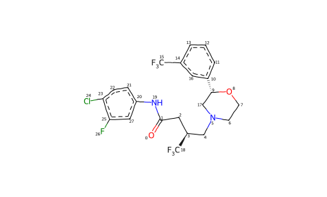 O=C(C[C@@H](CN1CCO[C@@H](c2cccc(C(F)(F)F)c2)C1)C(F)(F)F)Nc1ccc(Cl)c(F)c1